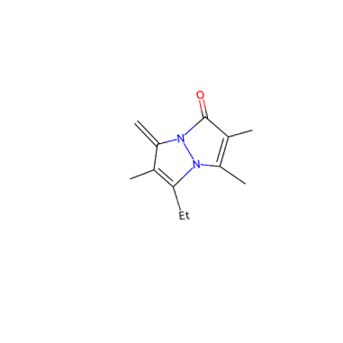 C=C1C(C)=C(CC)n2c(C)c(C)c(=O)n21